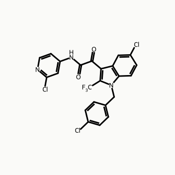 O=C(Nc1ccnc(Cl)c1)C(=O)c1c(C(F)(F)F)n(Cc2ccc(Cl)cc2)c2ccc(Cl)cc12